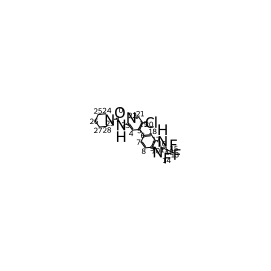 O=C(Nc1cc(-c2ccc3nc(C(F)(F)F)[nH]c3c2)c(Cl)cn1)N1CCCCC1